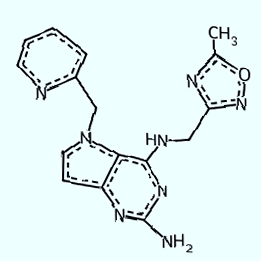 Cc1nc(CNc2nc(N)nc3ccn(Cc4ccccn4)c23)no1